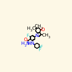 Cc1cn(-c2cc(F)c(C(N)=O)c(NC3CCC(F)(F)CC3)c2)c2c1C(=O)CC(C)(C)C2